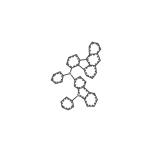 c1ccc(N(c2ccc3c4ccccc4n(-c4ccccc4)c3c2)c2cccc3c2-c2cccc4cc5ccccc5c-3c24)cc1